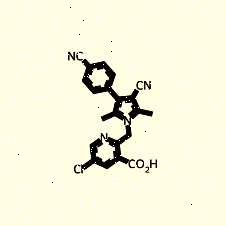 Cc1c(C#N)c(-c2ccc(C#N)cc2)c(C)n1Cc1ncc(Cl)cc1C(=O)O